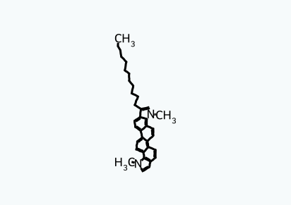 CCCCCCCCCCCCc1cn(C)c2c1ccc1c3ccc4c(ccc5ccn(C)c54)c3ccc12